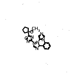 COC1(c2nc(N3C=NC4c5ccccc5-n5cncc5N43)no2)CCCC1